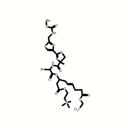 CC(C)C(NC(=O)C1(C)CSC(c2csc(CNC(=O)OC(C)(C)C)n2)=N1)C(=O)OC(CC=CCCC(=O)OCC(Cl)(Cl)Cl)CC(=O)OCC[Si](C)(C)C